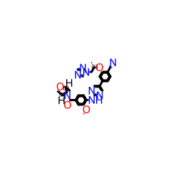 COc1cc(C(=O)N2C[C@@H]3C[C@H]2CO3)ccc1Nc1ncc(-c2ccc(C#N)c(O[C@@H](C)Cn3cncn3)c2)cn1